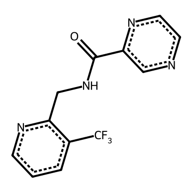 O=C(NCc1ncccc1C(F)(F)F)c1cnccn1